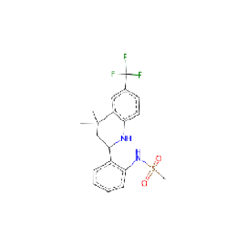 CC1(C)CC(c2ccccc2NS(C)(=O)=O)Nc2ccc(C(F)(F)F)cc21